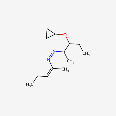 CC/C=C(C)\N=N/C(C)C(CC)OC1CC1